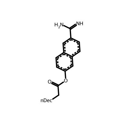 CCCCCCCCCCCC(=O)Oc1ccc2cc(C(=N)N)ccc2c1